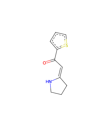 O=C(/C=C1/CCCN1)c1cccs1